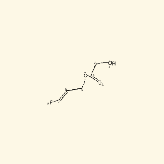 O=C(CO)OCC=CF